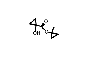 CC1(OC(=O)C2(O)CC2)CC1